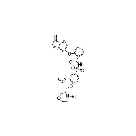 CCN1CCOCC1COc1ccc(S(=O)(=O)NC(=O)c2ccccc2Oc2cnc3[nH]ccc3c2)cc1[N+](=O)[O-]